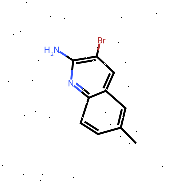 Cc1ccc2nc(N)c(Br)cc2c1